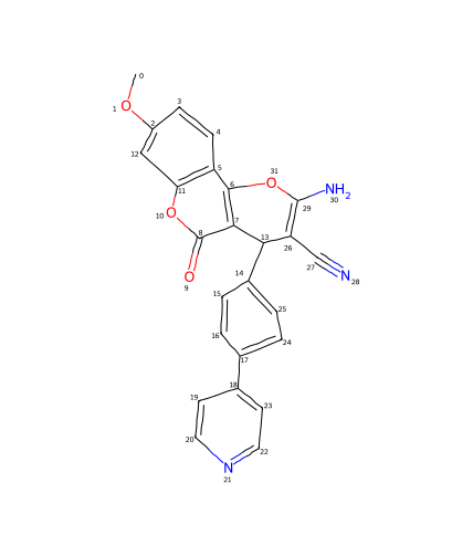 COc1ccc2c3c(c(=O)oc2c1)C(c1ccc(-c2ccncc2)cc1)C(C#N)=C(N)O3